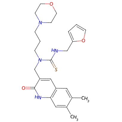 Cc1cc2cc(CN(CCCN3CCOCC3)C(=S)NCc3ccco3)c(=O)[nH]c2cc1C